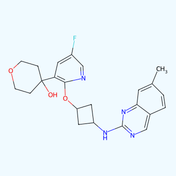 Cc1ccc2cnc(NC3CC(Oc4ncc(F)cc4C4(O)CCOCC4)C3)nc2c1